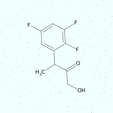 CC(C(=O)CO)c1cc(F)cc(F)c1F